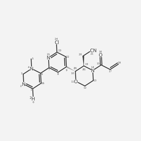 [2H]C1=NCN(C)C(c2cc([C@H]3OCCN(C(=O)C=C)[C@@H]3CC#N)cc(Cl)n2)=C1